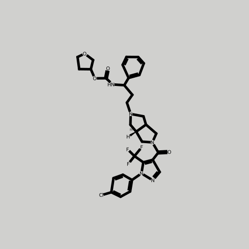 O=C(NC(CCN1CC2CN(C(=O)c3cnn(-c4ccc(Cl)cc4)c3C(F)(F)F)C[C@@H]2C1)c1ccccc1)OC1CCOC1